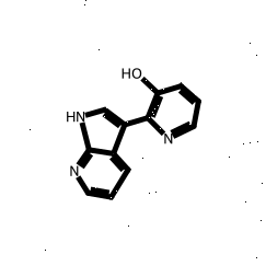 Oc1[c]ccnc1-c1c[nH]c2ncccc12